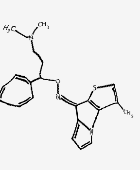 Cc1csc2c1-n1cccc1C2=NOC(CCN(C)C)c1ccccc1